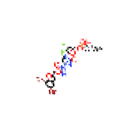 COP(O)OC[C@@H]1CC(F)(F)[C@H](n2ccc(NC(=O)OCc3cc4cc(Br)cc(Br)c4o3)nc2=O)O1